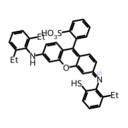 CCc1cccc(S)c1/N=c1/ccc2c(-c3ccccc3S(=O)(=O)O)c3ccc(Nc4c(CC)cccc4CC)cc3oc-2c1